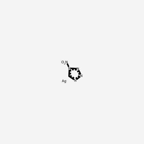 O=[N+]([O-])n1cnnn1.[Ag]